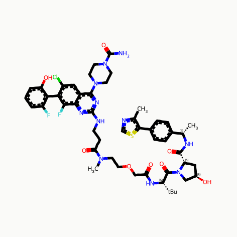 Cc1ncsc1-c1ccc([C@H](C)NC(=O)[C@@H]2C[C@@H](O)CN2C(=O)[C@@H](NC(=O)COCCN(C)C(=O)CCNc2nc(N3CCN(C(N)=O)CC3)c3cc(Cl)c(-c4c(O)cccc4F)c(F)c3n2)C(C)(C)C)cc1